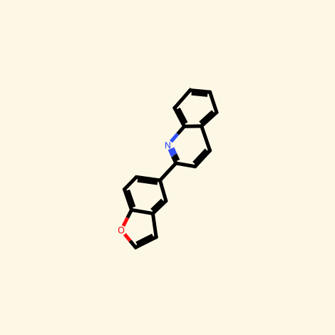 [c]1ccc2ccc(-c3ccc4occc4c3)nc2c1